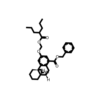 CCCC(CCC)C(=O)OCOc1cc(C(=O)OCc2ccccc2)c2c(c1)[C@@]13CCCC[C@H]1[C@@H](C2)NCC3